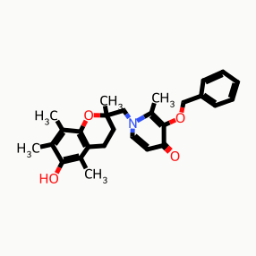 Cc1c(C)c2c(c(C)c1O)CCC(C)(Cn1ccc(=O)c(OCc3ccccc3)c1C)O2